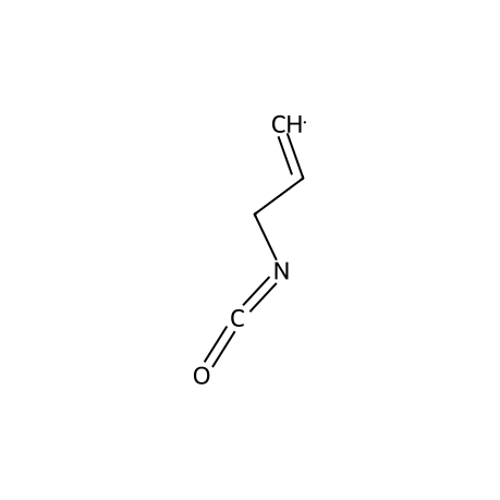 [CH]=CCN=C=O